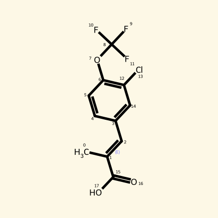 C/C(=C\c1ccc(OC(F)(F)F)c(Cl)c1)C(=O)O